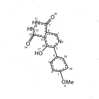 COc1ccc(-c2ncc3c(=O)[nH][nH]c(=O)c3c2O)cc1